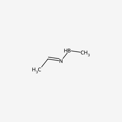 CB/N=C/C